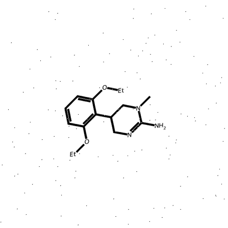 CCOc1cccc(OCC)c1C1CN=C(N)N(C)C1